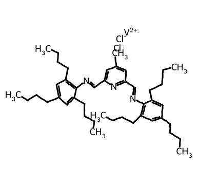 CCCCc1cc(CCCC)c(N=Cc2cc(C)cc(C=Nc3c(CCCC)cc(CCCC)cc3CCCC)n2)c(CCCC)c1.[Cl-].[Cl-].[V+2]